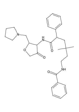 CC(C)(CCNC(=O)c1ccccc1)CC(C(=O)NC1C(=O)COC1CN1CCCC1)c1ccccc1